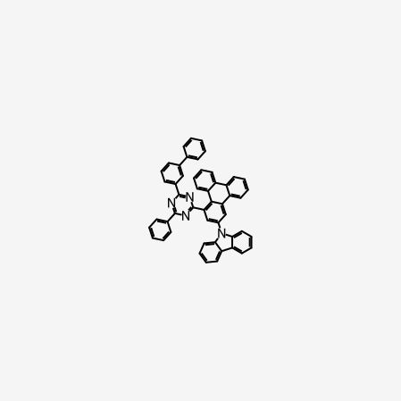 c1ccc(-c2cccc(-c3nc(-c4ccccc4)nc(-c4cc(-n5c6ccccc6c6ccccc65)cc5c6ccccc6c6ccccc6c45)n3)c2)cc1